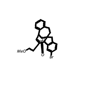 COCCN1C(=O)NC23C1=CC1CC2(CCc2ccccc21)Cc1ccc(Br)cc13